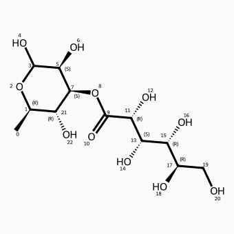 C[C@H]1OC(O)[C@@H](O)[C@@H](OC(=O)[C@H](O)[C@@H](O)[C@H](O)[C@H](O)CO)[C@@H]1O